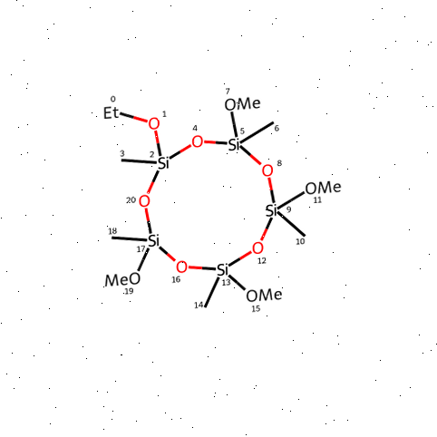 CCO[Si]1(C)O[Si](C)(OC)O[Si](C)(OC)O[Si](C)(OC)O[Si](C)(OC)O1